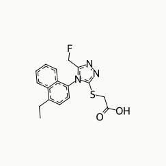 CCc1ccc(-n2c(CF)nnc2SCC(=O)O)c2ccccc12